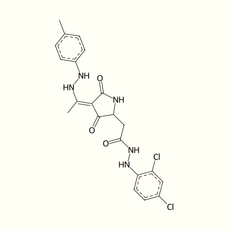 CC(NNc1ccc(C)cc1)=C1C(=O)NC(CC(=O)NNc2ccc(Cl)cc2Cl)C1=O